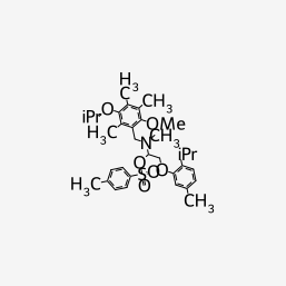 COc1c(C)c(C)c(OC(C)C)c(C)c1CN(C)C(COc1cc(C)ccc1C(C)C)OS(=O)(=O)c1ccc(C)cc1